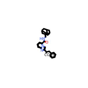 O=C(NCC12CC3CC(CC(C3)C1)C2)c1cccc2nc(C(Cc3ccccc3)C(=O)O)cn12